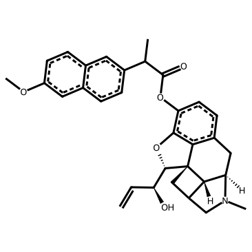 C=C[C@H](O)[C@@H]1Oc2c(OC(=O)C(C)c3ccc4cc(OC)ccc4c3)ccc3c2[C@@]12CC1CN(C)[C@H](C3)[C@H]12